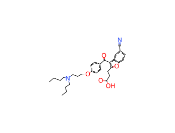 CCCCN(CCCC)CCCOc1ccc(C(=O)c2c(CCC(=O)O)oc3ccc(C#N)cc23)cc1